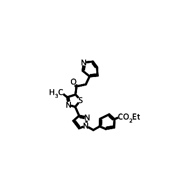 CCOC(=O)c1ccc(Cn2ccc(C3N=C(C)C(C(=O)Cc4cccnc4)S3)n2)cc1